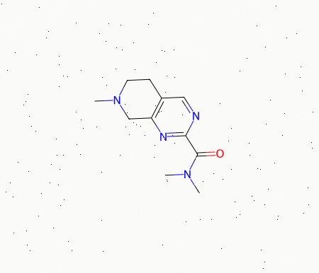 CN1CCc2cnc(C(=O)N(C)C)nc2C1